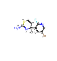 CC1(c2cc(Br)cnc2F)C=CSC(N)=N1